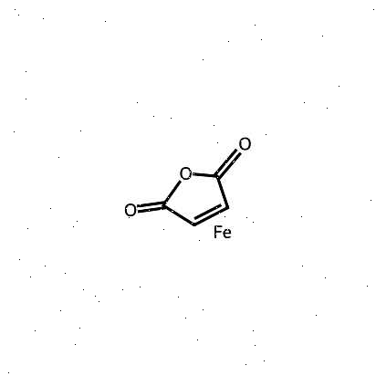 O=C1C=CC(=O)O1.[Fe]